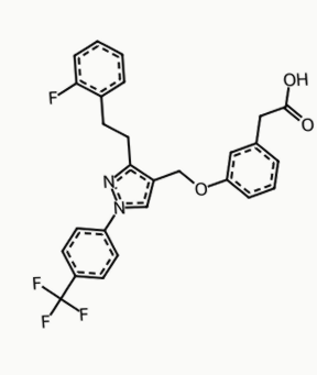 O=C(O)Cc1cccc(OCc2cn(-c3ccc(C(F)(F)F)cc3)nc2CCc2ccccc2F)c1